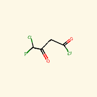 O=C(Cl)CC(=O)C(F)Cl